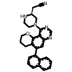 N#CC[C@H]1CN(c2ncnc3cc(-c4cccc5ccccc45)c4c(c23)OCCC4)CCN1